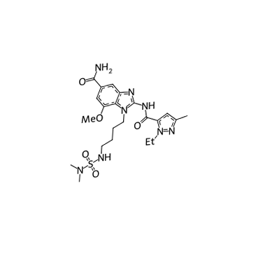 CCn1nc(C)cc1C(=O)Nc1nc2cc(C(N)=O)cc(OC)c2n1CCCCNS(=O)(=O)N(C)C